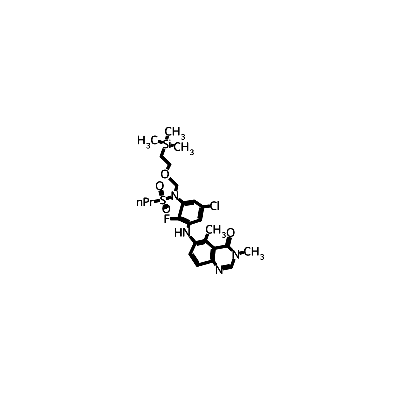 CCCS(=O)(=O)N(COCC[Si](C)(C)C)c1cc(Cl)cc(Nc2ccc3ncn(C)c(=O)c3c2C)c1F